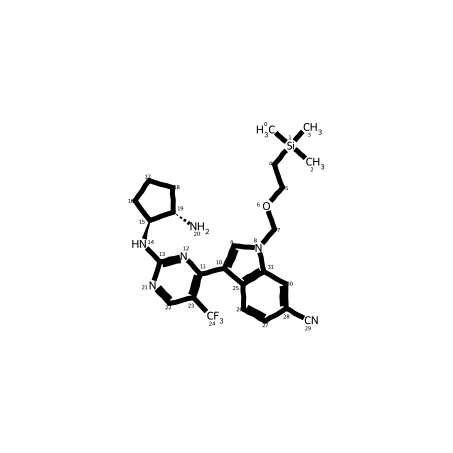 C[Si](C)(C)CCOCn1cc(-c2nc(N[C@H]3CCC[C@@H]3N)ncc2C(F)(F)F)c2ccc(C#N)cc21